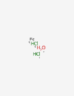 Cl.Cl.O.[Fe]